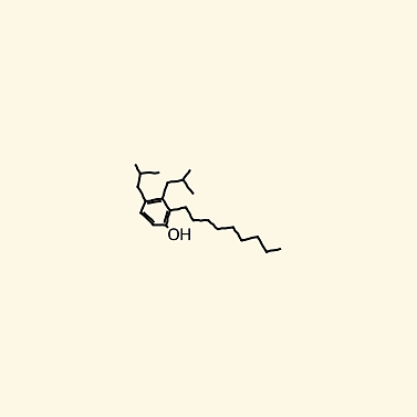 CCCCCCCCCc1c(O)ccc(CC(C)C)c1CC(C)C